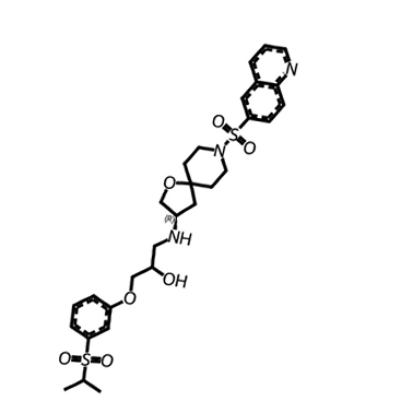 CC(C)S(=O)(=O)c1cccc(OCC(O)CN[C@H]2COC3(CCN(S(=O)(=O)c4ccc5ncccc5c4)CC3)C2)c1